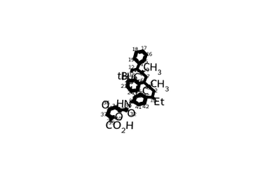 CCC(CC(C)(C)C(CC(C)(C)C(CC(C)(C)C)c1ccccc1)c1ccccc1)c1ccc(NC(=O)c2cc(=O)cc(C(=O)O)o2)cc1